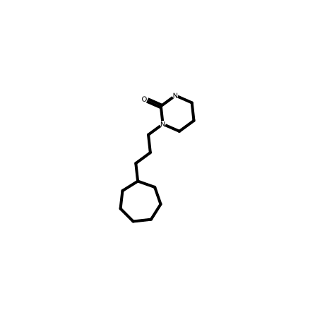 O=C1[N]CCCN1CCCC1CCCCCC1